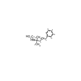 CC(C)(COCc1ccccc1)NC(=O)O